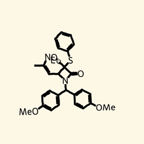 CCC1(Sc2ccccc2)C(=O)N(C(c2ccc(OC)cc2)c2ccc(OC)cc2)C1C=C(C)[N+](=O)[O-]